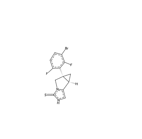 Fc1ccc(Br)c(F)c1[C@]12C[C@H]1c1c[nH]c(=S)n1C2